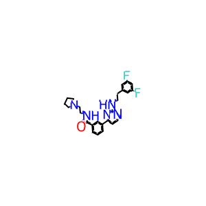 O=C(NCCN1CCCC1)c1cccc(-c2ccnc(NCCc3cc(F)cc(F)c3)n2)c1